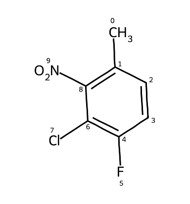 Cc1ccc(F)c(Cl)c1[N+](=O)[O-]